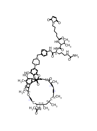 CC(=O)O[C@@H]1[C@H](C)C/C=C/O[C@@]2(C)Oc3c(C)c(O)c4c(=O)c(c5oc6cc(N7CCN(Cc8ccc(NC(=O)[C@H](CCCNC(N)=O)NC(=O)C(NC(=O)CCCCCN9C(=O)C=CC9=O)C(C)C)cc8)CC7)cc(O)c6nc-5c4c3C2=O)NC(=O)/C(C)=C\C=C\[C@H](C)C[C@@H](C)C[C@H]1C